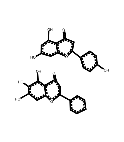 O=c1cc(-c2ccc(O)cc2)oc2cc(O)cc(O)c12.O=c1cc(-c2ccccc2)oc2cc(O)c(O)c(O)c12